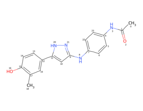 CC(=O)Nc1ccc(Nc2cc(-c3ccc(O)c(C)c3)[nH]n2)cc1